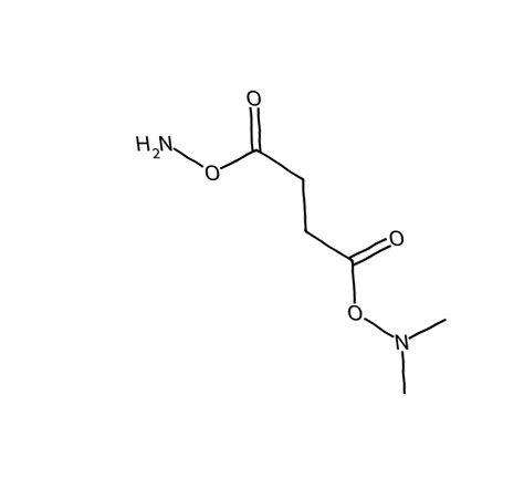 CN(C)OC(=O)CCC(=O)ON